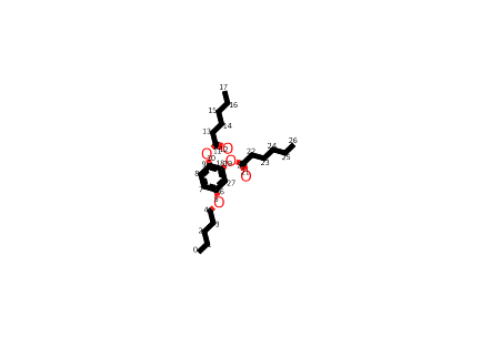 CCCCCOc1ccc(OC(=O)CCCCC)c(OC(=O)CCCCC)c1